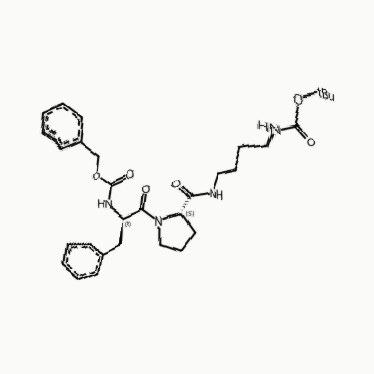 CC(C)(C)OC(=O)NCCCCNC(=O)[C@@H]1CCCN1C(=O)[C@@H](Cc1ccccc1)NC(=O)OCc1ccccc1